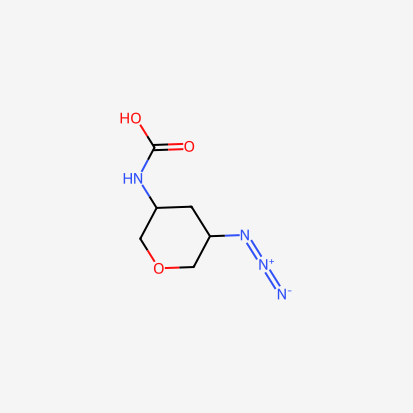 [N-]=[N+]=NC1COCC(NC(=O)O)C1